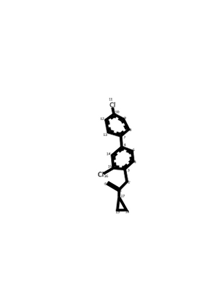 C=C(Cc1ccc(-c2ccc(Cl)cc2)cc1Cl)C1CC1